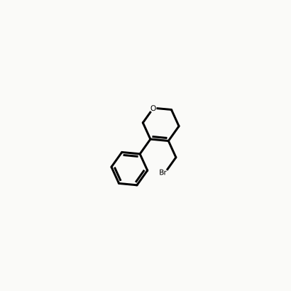 BrCC1=C(c2ccccc2)COCC1